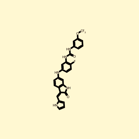 O=C(Nc1cccc(OC(F)(F)F)c1)Nc1cc(Nc2ccc3c(c2)NC(=O)/C3=C\c2ccc[nH]2)ccc1F